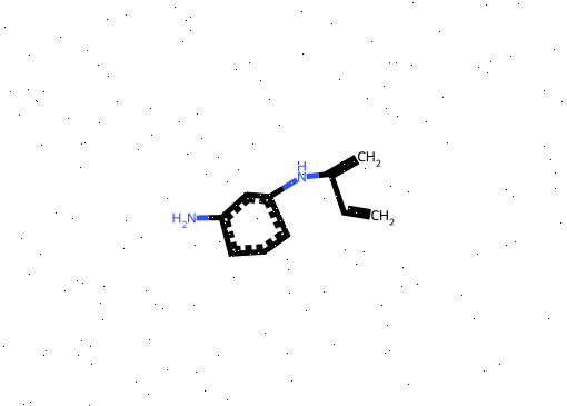 C=CC(=C)Nc1cccc(N)c1